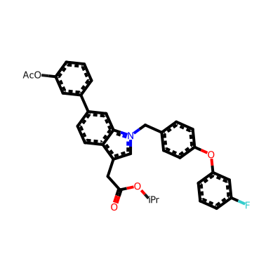 CC(=O)Oc1cccc(-c2ccc3c(CC(=O)OC(C)C)cn(Cc4ccc(Oc5cccc(F)c5)cc4)c3c2)c1